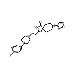 O=C1NC(CCN2CCN(c3ccc(F)cc3)CC2)CC12CCN(c1ccon1)CC2